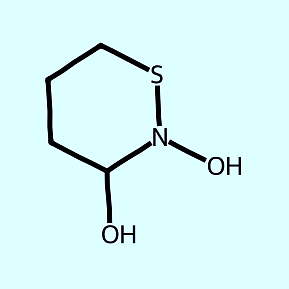 OC1CCCSN1O